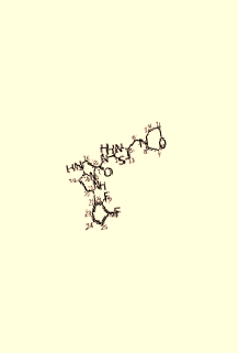 O=C(NC1NC(CN2CCOCC2)=CS1)C1=CNC2C=CC(c3cccc(F)c3F)NN12